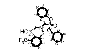 O=C(O)CN(CP(=O)(Oc1ccccc1)Oc1ccccc1)Sc1cccc(C(F)(F)F)c1